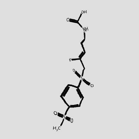 CS(=O)(=O)c1ccc(S(=O)(=O)CC(F)=CCNC(=O)O)cc1